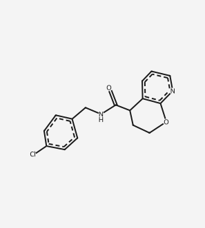 O=C(NCc1ccc(Cl)cc1)C1CCOc2ncccc21